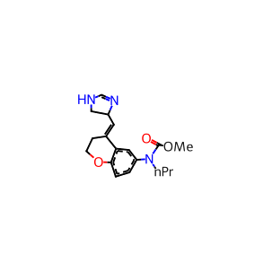 CCCN(C(=O)OC)c1ccc2c(c1)/C(=C/C1CNC=N1)CCO2